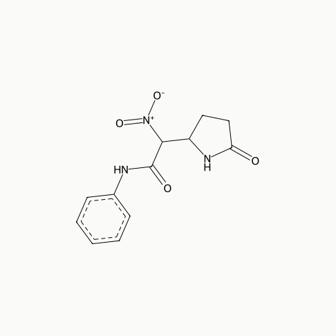 O=C1CCC(C(C(=O)Nc2ccccc2)[N+](=O)[O-])N1